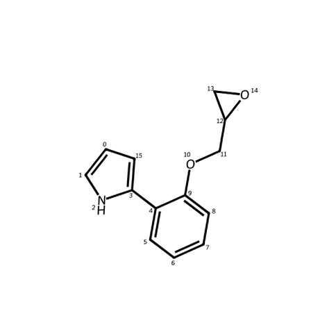 c1c[nH]c(-c2ccccc2OCC2CO2)c1